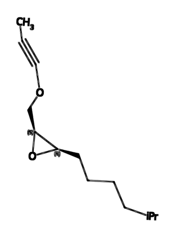 CC#COC[C@@H]1O[C@@H]1CCCCC(C)C